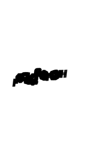 C1=CC=CNC=C1.CC1(C)CC(C(=O)c2ccc(F)cc2)C=c2c1ccc1c2=CCc2ccc(F)cc2-1